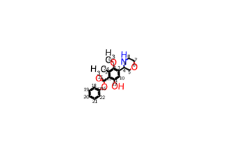 COc1c(C2COCCN2)cc(O)c(C(=O)Oc2ccccc2)c1C